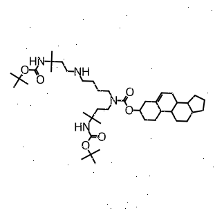 CC(C)(CCNCCCCN(CCC(C)(C)NC(=O)OC(C)(C)C)C(=O)OC1CCC2C(=CCC3C4CCCC4CCC23)C1)NC(=O)OC(C)(C)C